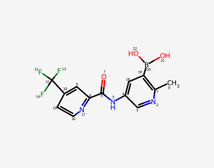 Cc1ncc(NC(=O)c2cc(C(F)(F)F)ccn2)cc1B(O)O